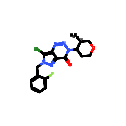 C[C@H]1COCCC1n1nnc2c(Cl)n(Cc3ccccc3F)nc2c1=O